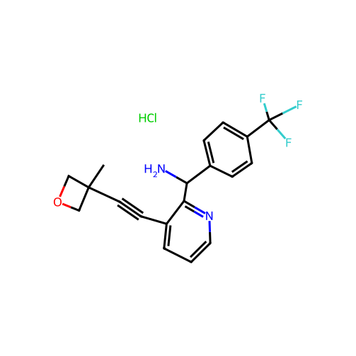 CC1(C#Cc2cccnc2C(N)c2ccc(C(F)(F)F)cc2)COC1.Cl